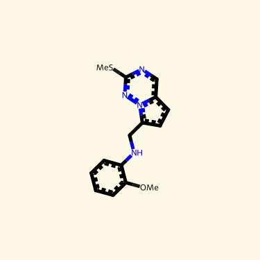 COc1ccccc1NCc1ccc2cnc(SC)nn12